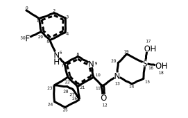 Cc1cccc(Nc2cnc(C(=O)N3CCS(O)(O)CC3)c3c2C2CCC3CC2)c1F